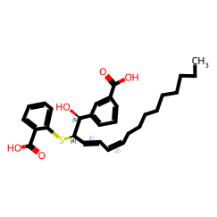 CCCCCCCCC/C=C\C=C\[C@@H](Sc1ccccc1C(=O)O)[C@@H](O)c1cccc(C(=O)O)c1